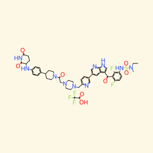 CCN(C)S(=O)(=O)Nc1ccc(F)c(C(=O)c2c[nH]c3ncc(-c4ccc(CN5CCN(CC(=O)N6CCC(c7ccc(NC8CCC(=O)NC8=O)cc7)CC6)CC5)nc4)cc23)c1F.O=C(O)C(F)(F)F